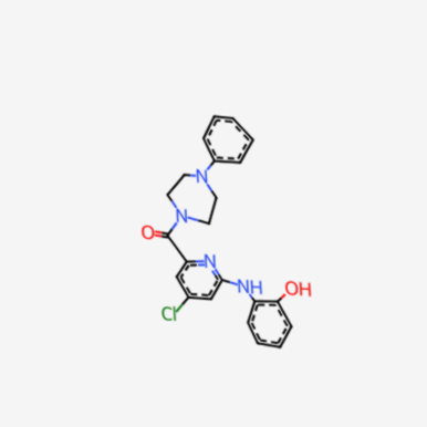 O=C(c1cc(Cl)cc(Nc2ccccc2O)n1)N1CCN(c2ccccc2)CC1